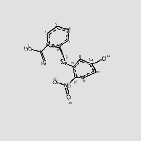 O=C(O)c1ccccc1[Se]c1cc(Cl)ccc1[N+](=O)[O-]